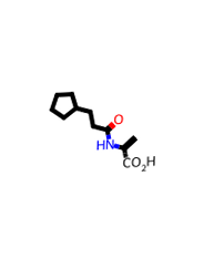 C=C(NC(=O)CCC1CCCC1)C(=O)O